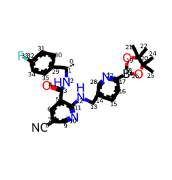 C[C@H](NC(=O)c1cc(C#N)cnc1NCc1ccc(B2OC(C)(C)C(C)(C)O2)nc1)c1ccc(F)cc1